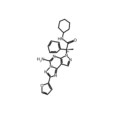 C[C@](C(=O)NC1CCCCC1)(c1ccccc1)n1ncc2c1nc(N)n1nc(-c3ccco3)nc21